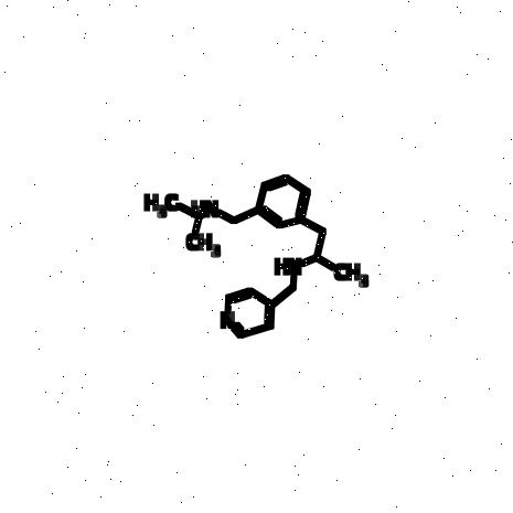 CC(C)NCc1cccc(CC(C)NCc2ccncc2)c1